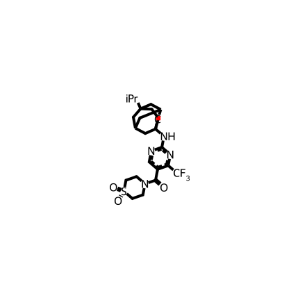 CC(C)C12CCC3(Nc4ncc(C(=O)N5CCS(=O)(=O)CC5)c(C(F)(F)F)n4)CC(CC(C3)C1)C2